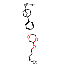 CC/C=C\CCO[C@H]1CO[C@H](c2ccc(C34CCC(CCCCC)(CC3)CC4)cc2)CO1